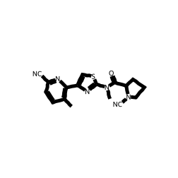 Cc1ccc(C#N)nc1-c1csc(N(C)C(=O)C2CCCN2C#N)n1